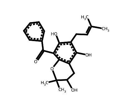 CC(C)=CCc1c(O)c2c(c(C(=O)c3ccccc3)c1O)OC(C)(C)C(O)C2